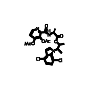 COc1ccnc(C(=O)N[C@@H](C)C(=O)OC(C)C(C)n2ccc3c(Cl)ccc(Cl)c32)c1OC(C)=O